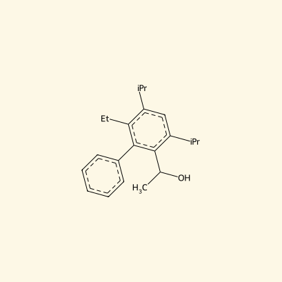 CCc1c(C(C)C)cc(C(C)C)c(C(C)O)c1-c1ccccc1